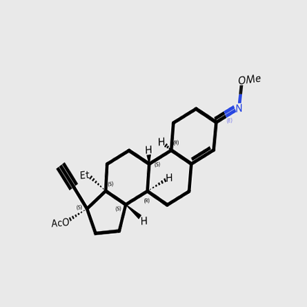 C#C[C@]1(OC(C)=O)CC[C@H]2[C@@H]3CCC4=C/C(=N/OC)CC[C@@H]4[C@H]3CC[C@@]21CC